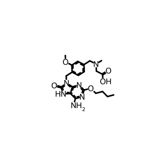 CCCCOc1nc(N)c2[nH]c(=O)n(Cc3ccc(CN(C)CC(=O)O)cc3OC)c2n1